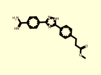 COC(=O)CCc1ccc(-c2nc(-c3ccc(C(=N)N)cc3)n[nH]2)cc1